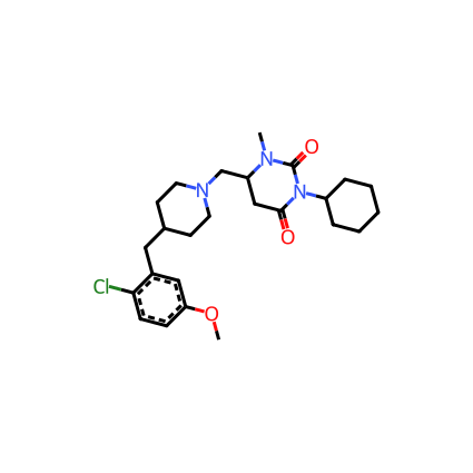 COc1ccc(Cl)c(CC2CCN(CC3CC(=O)N(C4CCCCC4)C(=O)N3C)CC2)c1